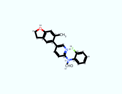 Cc1cc2c(cc1-c1ccc(N(C=O)c3ccccc3F)nc1)CCO2